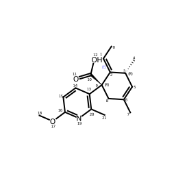 C/C=C1\[C@H](C)C=C(C)C[C@]1(C(=O)O)c1ccc(OC)nc1C